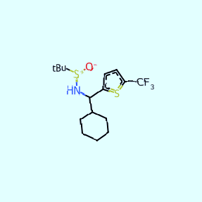 CC(C)(C)[S+]([O-])NC(c1ccc(C(F)(F)F)s1)C1CCCCC1